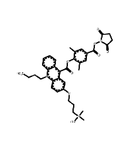 CCCC[N+](C)(C)CCCOc1ccc2c(c1)c(C(=O)Oc1c(C)cc(C(=O)ON3C(=O)CCC3=O)cc1C)c1ccccc1[n+]2CCCS(=O)(=O)O